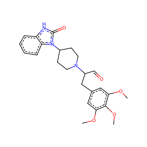 COc1cc(CC(C=O)N2CCC(n3c(=O)[nH]c4ccccc43)CC2)cc(OC)c1OC